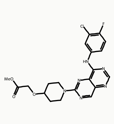 COC(=O)COC1CCN(c2ncc3ncnc(Nc4ccc(F)c(Cl)c4)c3n2)CC1